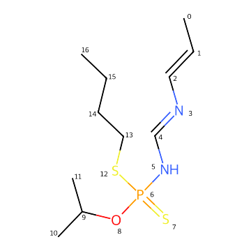 CC=CN=CNP(=S)(OC(C)C)SCCCC